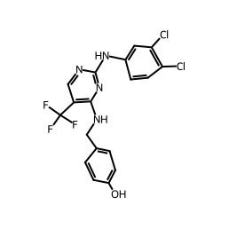 Oc1ccc(CNc2nc(Nc3ccc(Cl)c(Cl)c3)ncc2C(F)(F)F)cc1